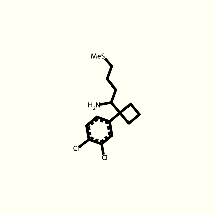 CSCCCC(N)C1(c2ccc(Cl)c(Cl)c2)CCC1